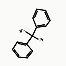 [CH2]CCC(c1ccccc1)(c1ccccc1)C(C)C